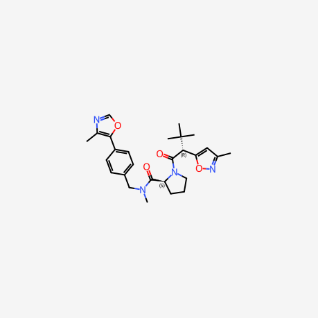 Cc1cc([C@H](C(=O)N2CCC[C@H]2C(=O)N(C)Cc2ccc(-c3ocnc3C)cc2)C(C)(C)C)on1